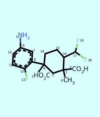 CC1(C(=O)O)CC(C(=O)O)(c2cc(N)ccc2F)CCC1C(F)F